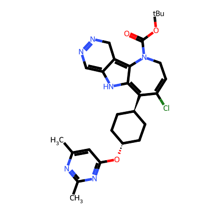 Cc1cc(O[C@H]2CC[C@H](C3=c4[nH]c5c(c4N(C(=O)OC(C)(C)C)CC=C3Cl)CN=NC=5)CC2)nc(C)n1